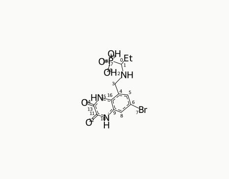 CCC(NCc1cc(Br)cc2[nH]c(=O)c(=O)[nH]c12)P(=O)(O)O